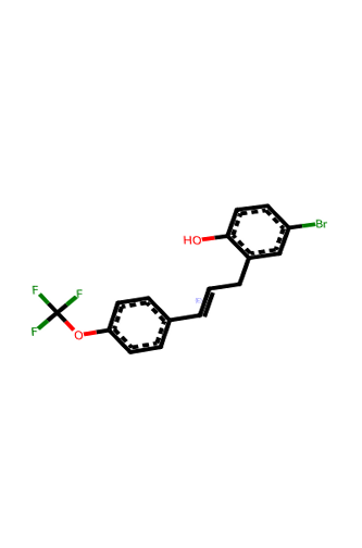 Oc1ccc(Br)cc1C/C=C/c1ccc(OC(F)(F)F)cc1